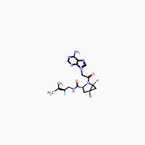 CC(C)=C(F)CNC(=O)[C@@H]1C[C@H]2C[C@H]2N1C(=O)Cn1cnc2c(N)ncnc21